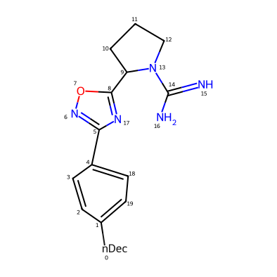 CCCCCCCCCCc1ccc(-c2noc(C3CCCN3C(=N)N)n2)cc1